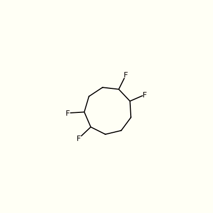 FC1CCCC(F)C(F)CCC1F